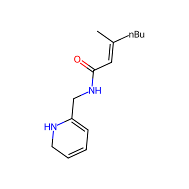 CCCC/C(C)=C/C(=O)NCC1=CC=CCN1